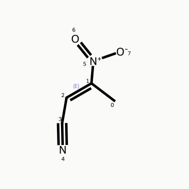 C/C(=C\C#N)[N+](=O)[O-]